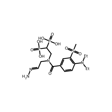 CCN(CC)c1ccc(C(=O)N(CC=NN)CC(P(=O)(O)O)P(=O)(O)O)cc1S(C)(=O)=O